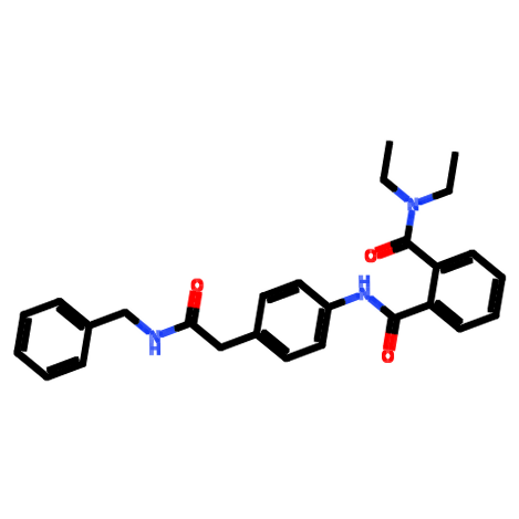 CCN(CC)C(=O)c1ccccc1C(=O)Nc1ccc(CC(=O)NCc2ccccc2)cc1